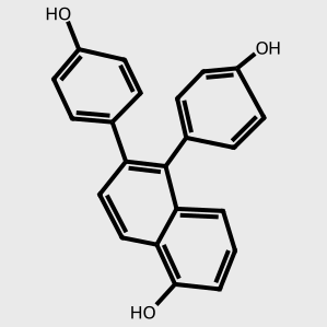 Oc1ccc(-c2ccc3c(O)cccc3c2-c2ccc(O)cc2)cc1